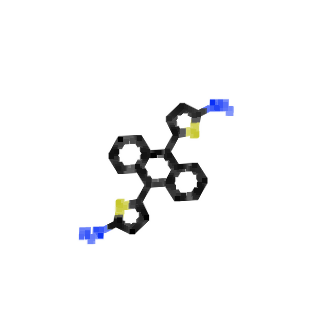 Nc1ccc(-c2c3ccccc3c(-c3ccc(N)s3)c3ccccc23)s1